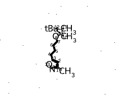 Cc1cc(CCCCO[Si](C)(C)C(C)(C)C)on1